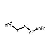 [CH2]CCOSCCCC